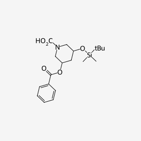 CC(C)(C)[Si](C)(C)OC1CC(OC(=O)c2ccccc2)CN(C(=O)O)C1